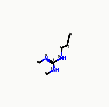 [CH2]CCNC(=NC)NC